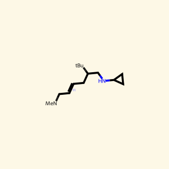 CNC/C=C/CC(CNC1CC1)C(C)(C)C